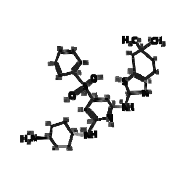 CC1(C)CCc2nc(Nc3cc(S(=O)(=O)c4ccccc4)cc(N[C@H]4CC[C@H](N)CC4)n3)sc2C1